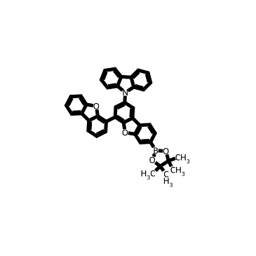 CC1(C)OB(c2ccc3c(c2)oc2c(-c4cccc5c4oc4ccccc45)cc(-n4c5ccccc5c5ccccc54)cc23)OC1(C)C